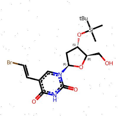 CC(C)(C)[Si](C)(C)O[C@H]1C[C@H](n2cc(C=CBr)c(=O)[nH]c2=O)O[C@@H]1CO